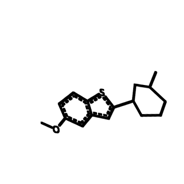 COc1ccc2sc(C3CCCC(C)C3)cc2c1